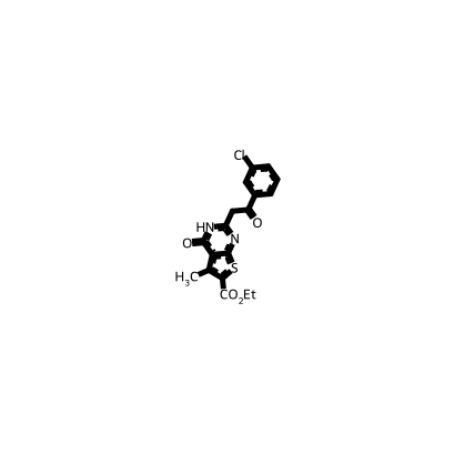 CCOC(=O)c1sc2nc(CC(=O)c3cccc(Cl)c3)[nH]c(=O)c2c1C